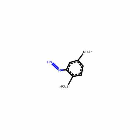 CC(=O)Nc1ccc(S(=O)(=O)O)c(N=N)c1